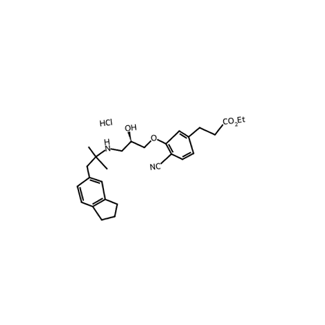 CCOC(=O)CCc1ccc(C#N)c(OC[C@H](O)CNC(C)(C)Cc2ccc3c(c2)CCC3)c1.Cl